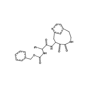 CC(C)C(NC(=O)OCc1ccccc1)C(=O)NC1Cc2cc(ccn2)CCNC(=O)C1=O